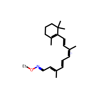 CCON=CC=C(C)C=C/C=C(/C)C=CC1=C(C)CCCC1(C)C